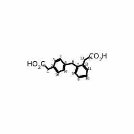 O=C(O)Cc1ccc(Cc2ccccc2CC(=O)O)cc1